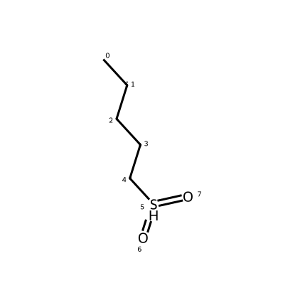 C[CH]CCC[SH](=O)=O